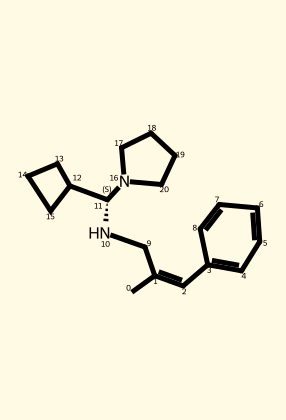 CC(=Cc1ccccc1)CN[C@H](C1CCC1)N1CCCC1